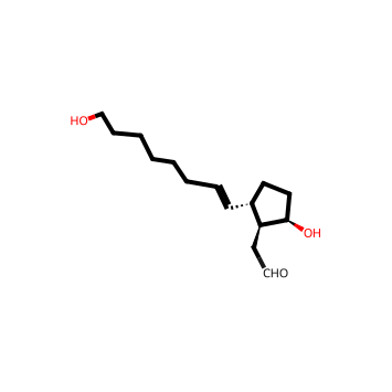 O=CC[C@@H]1[C@H](O)CC[C@H]1C=CCCCCCCO